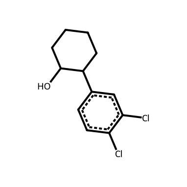 OC1CCCCC1c1ccc(Cl)c(Cl)c1